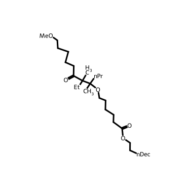 CCCCCCCCCCCCOC(=O)CCCCCOC(C)(CCC)C(C)(CC)C(=O)CCCCCOC